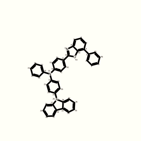 c1ccc(-c2cccc3nc(-c4ccc(N(c5ccccc5)c5ccc(-n6c7ccccc7c7ccccc76)cc5)cc4)oc23)cc1